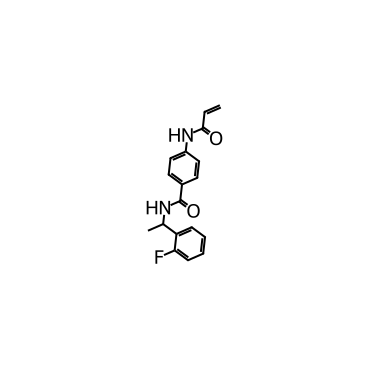 C=CC(=O)Nc1ccc(C(=O)NC(C)c2ccccc2F)cc1